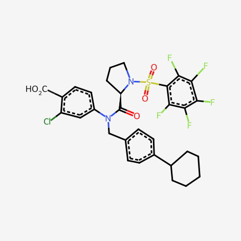 O=C(O)c1ccc(N(Cc2ccc(C3CCCCC3)cc2)C(=O)[C@H]2CCCN2S(=O)(=O)c2c(F)c(F)c(F)c(F)c2F)cc1Cl